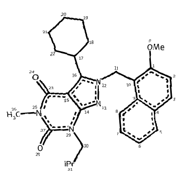 COc1ccc2ccccc2c1Cn1nc2c(c1C1CCCCC1)c(=O)n(C)c(=O)n2CC(C)C